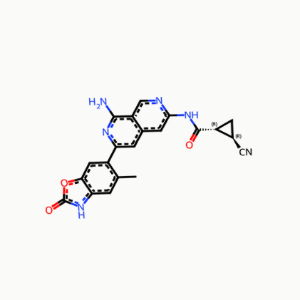 Cc1cc2[nH]c(=O)oc2cc1-c1cc2cc(NC(=O)[C@@H]3C[C@H]3C#N)ncc2c(N)n1